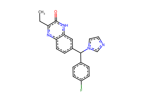 CCc1nc2ccc(C(c3ccc(F)cc3)n3ccnc3)cc2[nH]c1=O